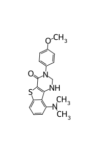 COc1ccc(N2CNc3c(sc4cccc(N(C)C)c34)C2=O)cc1